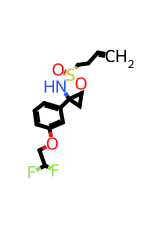 C=CCCS(=O)(=O)NC1(c2cccc(OCC(F)F)c2)CC1